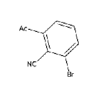 CC(=O)c1cccc(Br)c1C#N